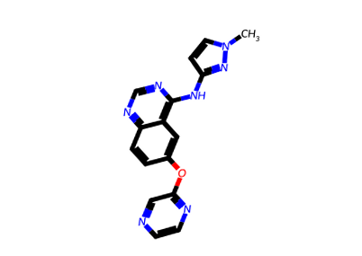 Cn1ccc(Nc2ncnc3ccc(Oc4cnccn4)cc23)n1